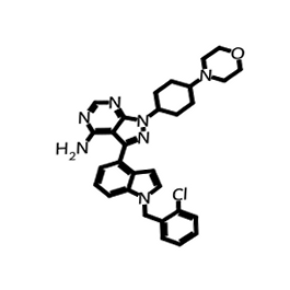 Nc1ncnc2c1c(-c1cccc3c1ccn3Cc1ccccc1Cl)nn2C1CCC(N2CCOCC2)CC1